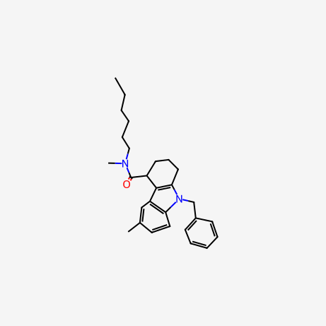 CCCCCCN(C)C(=O)C1CCCc2c1c1cc(C)ccc1n2Cc1ccccc1